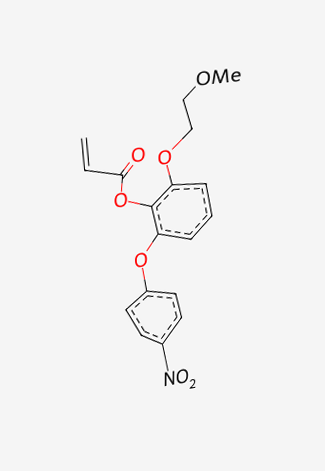 C=CC(=O)Oc1c(OCCOC)cccc1Oc1ccc([N+](=O)[O-])cc1